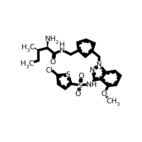 CC[C@H](C)[C@@H](N)C(=O)NCc1cccc(Cn2nc(NS(=O)(=O)c3ccc(Cl)s3)c3c(OC)cccc32)c1